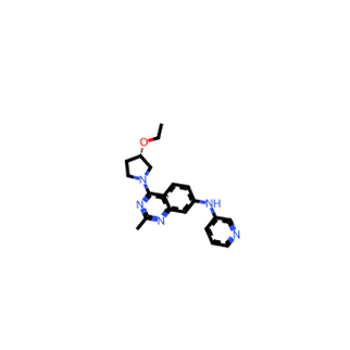 CCO[C@H]1CCN(c2nc(C)nc3cc(Nc4cccnc4)ccc23)C1